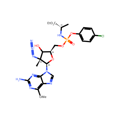 CCOC(=O)[C@H](C)NP(=O)(OC[C@H]1O[C@@H](n2cnc3c(OC)nc(N)nc32)[C@](C)(N=[N+]=[N-])C1O)Oc1ccc(Cl)cc1